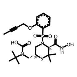 CC#CCOc1ccccc1S(=O)(=O)N1C[C@@H](CN(C(=O)O)C(C)(C)C)SC(C)(C)[C@@H]1C(=O)NO